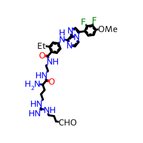 CCc1cc(Nc2nccn3c(-c4ccc(OC)c(F)c4F)cnc23)ccc1C(=O)NCCNC(=O)C(N)CCCNC(=N)NCCCC=O